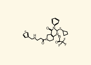 O=C(CCNCc1ccsc1)N1CCC2=C(C1)C(=O)N(c1ccccc1)C(SC1CCC1)N2OC(=O)C(F)(F)F